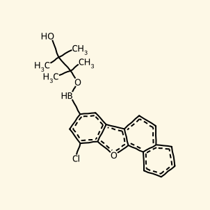 CC(C)(O)C(C)(C)OBc1cc(Cl)c2oc3c4ccccc4ccc3c2c1